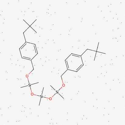 CC(C)(C)Cc1ccc(CO[Si](C)(C)O[Si](C)(C)O[Si](C)(C)OCc2ccc(CC(C)(C)C)cc2)cc1